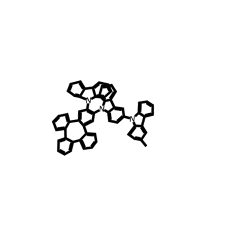 Cc1ccc2c(c1)c1ccccc1n2-c1ccc2c(c1)c1ccccc1n2-c1cc2c(cc1-n1c3ccccc3c3ccccc31)-c1ccccc1-c1ccccc1-c1ccccc1-2